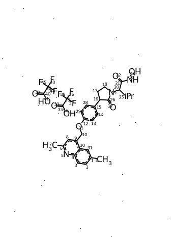 Cc1ccc2nc(C)cc(COc3ccc(C4CCN(C(C(=O)NO)C(C)C)C4=O)cc3)c2c1.O=C(O)C(F)(F)F.O=C(O)C(F)(F)F